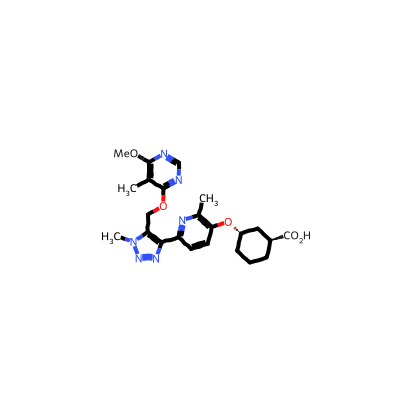 COc1ncnc(OCc2c(-c3ccc(O[C@H]4CCC[C@H](C(=O)O)C4)c(C)n3)nnn2C)c1C